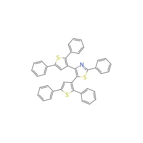 c1ccc(-c2cc(-c3nc(-c4ccccc4)sc3-c3cc(-c4ccccc4)sc3-c3ccccc3)c(-c3ccccc3)s2)cc1